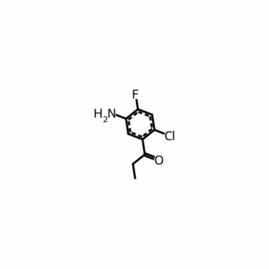 CCC(=O)c1cc(N)c(F)cc1Cl